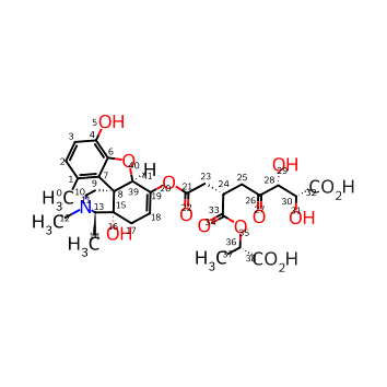 Cc1ccc(O)c2c1[C@]13CCN(C)[C@H](C)[C@]1(O)CC=C(OC(=O)C[C@H](CC(=O)[C@H](O)[C@@H](O)C(=O)O)C(=O)O[C@@H](C)C(=O)O)[C@@H]3O2